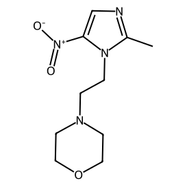 Cc1ncc([N+](=O)[O-])n1CCN1CCOCC1